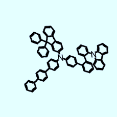 c1ccc(-c2ccc(-c3ccc(N(c4ccc(-c5ccccc5-c5ccccc5-n5c6ccccc6c6ccccc65)cc4)c4ccc5c(c4)C(c4ccccc4)(c4ccccc4)c4ccccc4-5)cc3)cc2)cc1